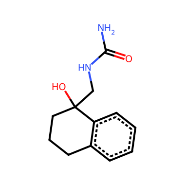 NC(=O)NCC1(O)CCCc2ccccc21